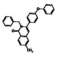 Cc1ccc2c(=O)n(Cc3ccccc3)c(-c3ccc(Oc4ccccc4)cc3)cc2c1